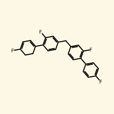 FC1=CC=C(c2ccc(Cc3ccc(-c4ccc(F)cc4)c(F)c3)cc2F)CC1